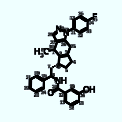 C[C@@H]1C2=C(CC[C@@H]2CC(NC(=O)c2cccc(O)c2)c2ccccc2)Cc2c1cnn2-c1ccc(F)cc1